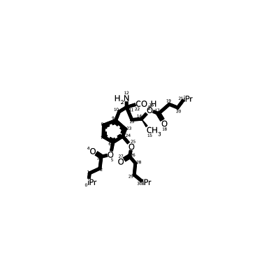 CC(C)CCC(=O)Oc1ccc(CC(N)(C[C@H](C)OC(=O)CCC(C)C)C(=O)O)cc1OC(=O)CCC(C)C